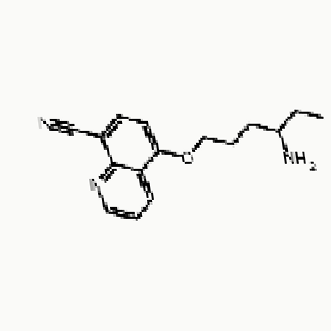 CCC(N)CCCOc1ccc(C#N)c2ncccc12